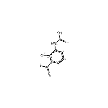 O=C(O)Nc1cccc([N+](=O)[O-])c1Cl